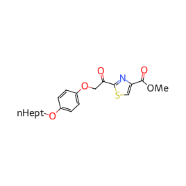 CCCCCCCOc1ccc(OCC(=O)c2nc(C(=O)OC)cs2)cc1